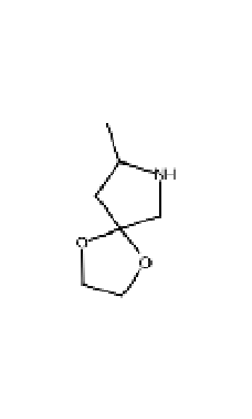 CC1CC2(CN1)OCCO2